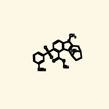 CNc1cccc(S(=O)(=O)c2ccc3c(c2C(=O)OC(C)(C)C)c2c(n3C)CC3CCC2N3)c1